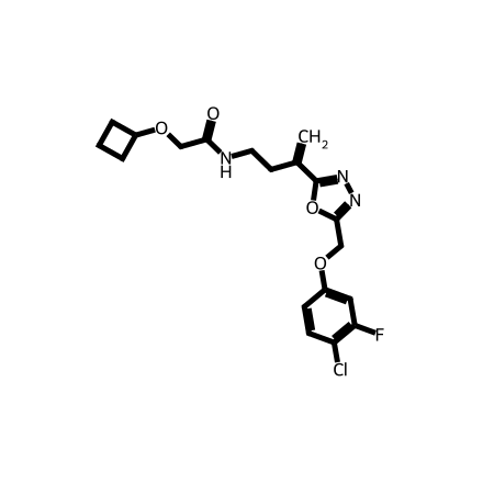 C=C(CCNC(=O)COC1CCC1)c1nnc(COc2ccc(Cl)c(F)c2)o1